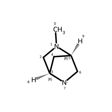 CN1C[C@H]2C[C@@H]1C[N]2